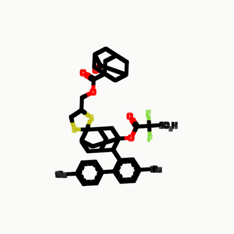 CC(C)(C)c1ccc(-c2ccc(C(C)(C)C)cc2C2C3CC4CC2(OC(=O)C(F)(F)S(=O)(=O)O)CC(C3)C42SCC(COC(=O)C34CC5CC(C3)C(=O)C(C5)C4)S2)cc1